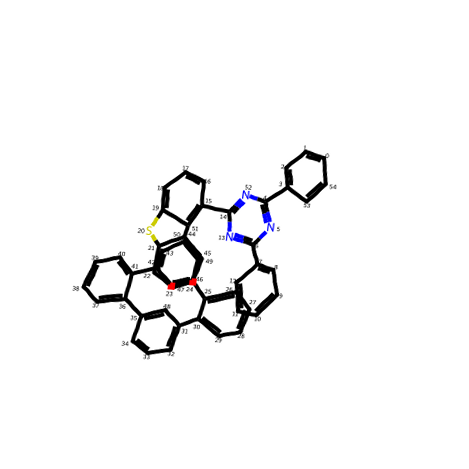 c1ccc(-c2nc(-c3ccccc3)nc(-c3cccc4sc5ccc(-c6ccccc6-c6cccc(-c7ccccc7-c7ccccc7)c6)cc5c34)n2)cc1